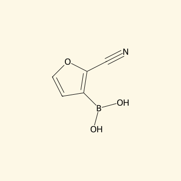 N#Cc1occc1B(O)O